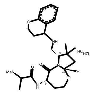 CNC(C)C(=O)N[C@H]1CCO[C@H]2CC(C)(C)[C@@H](CNC3CCOc4ccccc43)N2C1=O.Cl.Cl